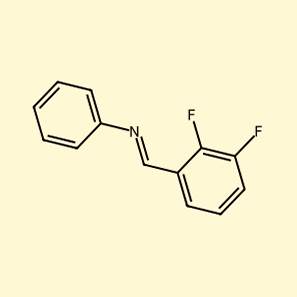 Fc1cccc(/C=N/c2ccccc2)c1F